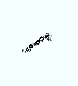 C=C(C)C(=O)OC1CCN(c2ccc(/N=N/c3ccc(S(C)(=O)=O)cc3)cc2)CC1